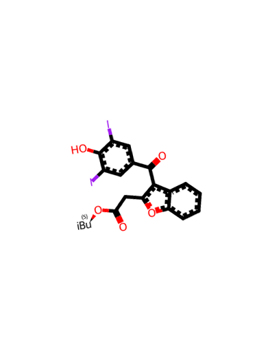 CC[C@H](C)OC(=O)Cc1oc2ccccc2c1C(=O)c1cc(I)c(O)c(I)c1